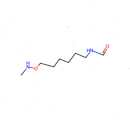 CNOCCCCCCNC=O